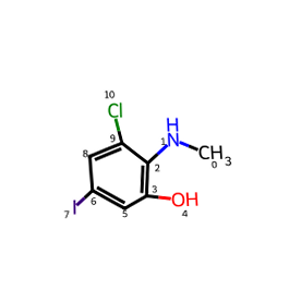 CNc1c(O)cc(I)cc1Cl